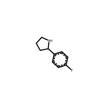 Fc1ccc(C2CCCN2)cc1